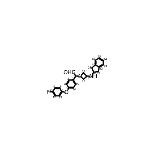 O=CC(c1ccc(Oc2ccc(F)cc2)cc1)N1CC(NC2Cc3ccccc3C2)C1